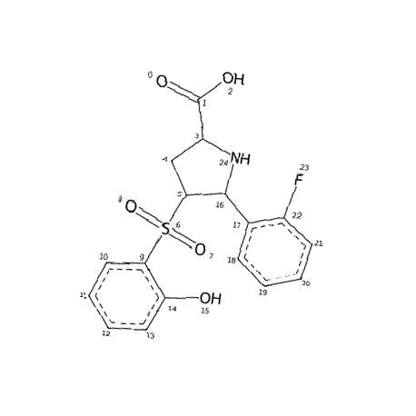 O=C(O)C1CC(S(=O)(=O)c2ccccc2O)C(c2ccccc2F)N1